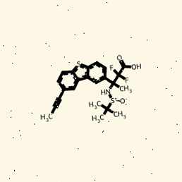 CC#Cc1ccc2sc3ccc(C(C)(N[S@+]([O-])C(C)(C)C)C(F)(F)C(=O)O)cc3c2c1